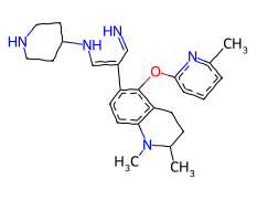 Cc1cccc(Oc2c(/C(C=N)=C/NC3CCNCC3)ccc3c2CCC(C)N3C)n1